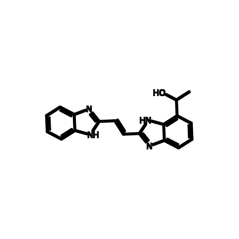 CC(O)c1cccc2nc(C=Cc3nc4ccccc4[nH]3)[nH]c12